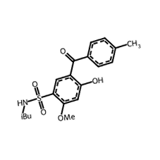 CCC(C)NS(=O)(=O)c1cc(C(=O)c2ccc(C)cc2)c(O)cc1OC